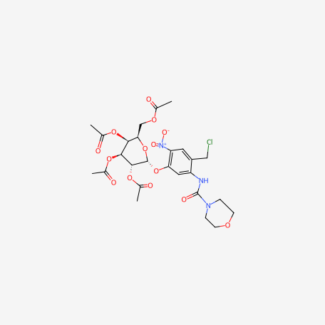 CC(=O)OC[C@H]1O[C@H](Oc2cc(NC(=O)N3CCOCC3)c(CCl)cc2[N+](=O)[O-])[C@H](OC(C)=O)[C@@H](OC(C)=O)[C@H]1OC(C)=O